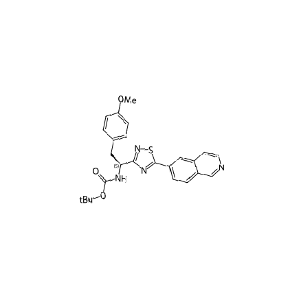 COc1ccc(C[C@H](NC(=O)OC(C)(C)C)c2nsc(-c3ccc4cnccc4c3)n2)cc1